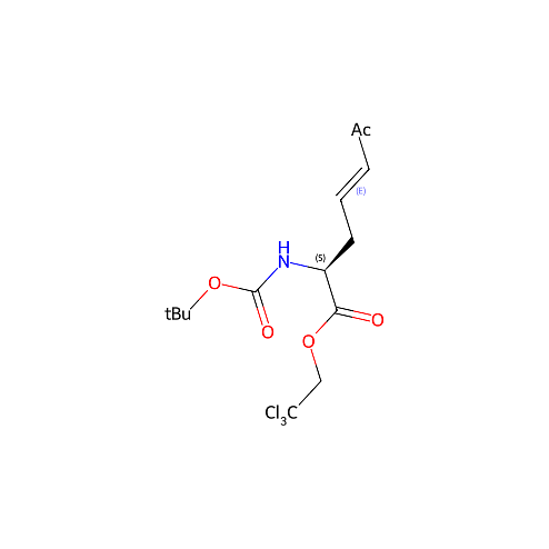 CC(=O)/C=C/C[C@H](NC(=O)OC(C)(C)C)C(=O)OCC(Cl)(Cl)Cl